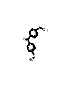 O=C(c1ccc(SO)cc1)c1ccc(SO)cc1